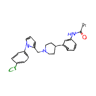 CC(C)C(=O)Nc1cccc(C2CCN(Cc3cccn3-c3ccc(Cl)cc3)CC2)c1